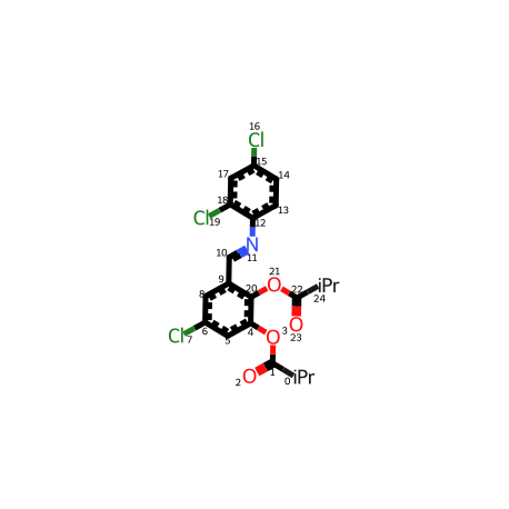 CC(C)C(=O)Oc1cc(Cl)cc(C=Nc2ccc(Cl)cc2Cl)c1OC(=O)C(C)C